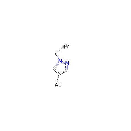 CC(=O)c1cnn(CC(C)C)c1